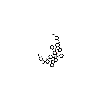 C=Cc1ccc(Oc2ccc(C3(c4c(F)cccc4F)c4ccccc4-c4ccc(N(c5ccccc5)c5ccc6c(c5)C(c5ccc(Oc7ccc(C=C)cc7)cc5)(c5c(F)cccc5F)c5ccccc5-6)cc43)cc2)cc1